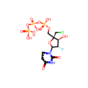 O=c1ccn(C2O[C@](CCl)(COP(=O)(O)OP(=O)(O)OP(=O)(O)O)[C@@H](O)[C@@H]2F)c(=O)[nH]1